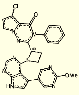 COc1ncc(-c2c[nH]c3ncnc(N4CC[C@H]4c4nn5ccc(Cl)c5c(=O)n4-c4ccccc4)c23)cn1